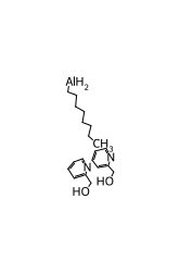 CCCCCCC[CH2][AlH2].OCc1ccccn1.OCc1ccccn1